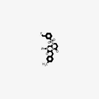 Cc1ccc(CC2C(=O)N(C(C)C)CC3N2C(=O)CCN3S(=O)(=O)c2cccc(CF)c2)cc1